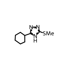 CSc1nnc(C2CCCCC2)[nH]1